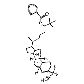 C[C@@H](CCC[C@H](OC(=O)c1ccccc1)C(C)(C)C)[C@@H]1CC[C@H]2[C@@H]3CC[C@H]4C[C@](O)(C(F)(F)F)CC[C@]4(C)[C@H]3CC[C@@]21C